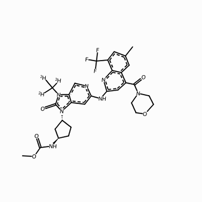 [2H]C([2H])([2H])n1c(=O)n([C@@H]2CC[C@@H](NC(=O)OC)C2)c2cc(Nc3cc(C(=O)N4CCOCC4)c4cc(C)cc(C(F)(F)F)c4n3)ncc21